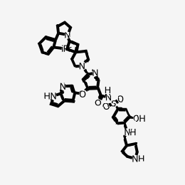 CC(C)c1ccccc1C1CCCN1C1CC2(CCN(c3cc(Oc4cnc5[nH]ccc5c4)c(C(=O)NS(=O)(=O)c4ccc(NCC5CCNCC5)c(O)c4)cn3)CC2)C1